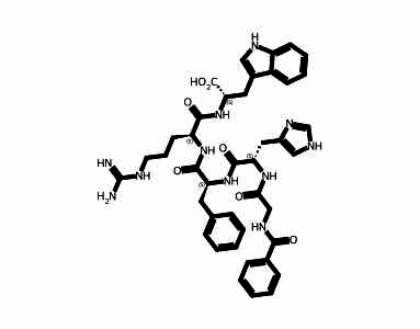 N=C(N)NCCC[C@H](NC(=O)[C@H](Cc1ccccc1)NC(=O)[C@H](Cc1c[nH]cn1)NC(=O)CNC(=O)c1ccccc1)C(=O)N[C@@H](Cc1c[nH]c2ccccc12)C(=O)O